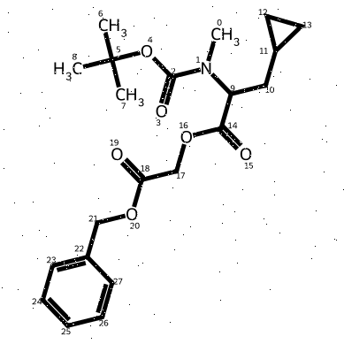 CN(C(=O)OC(C)(C)C)C(CC1CC1)C(=O)OCC(=O)OCc1ccccc1